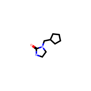 O=C1[N]CCN1CC1CCCC1